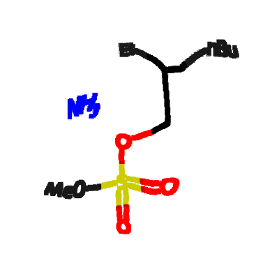 CCCCC(CC)COS(=O)(=O)OC.N